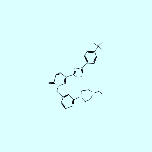 CC(C)(c1ccc(-c2noc(-c3ccc(=O)n(Cc4ccnc(N5CCN(CC(F)(F)F)CC5)c4)c3)n2)cc1)C(F)(F)F